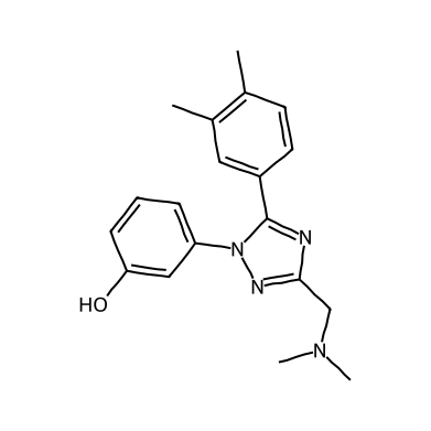 Cc1ccc(-c2nc(CN(C)C)nn2-c2cccc(O)c2)cc1C